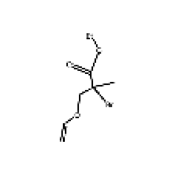 C=COCC(C)(Br)C(=O)OCC